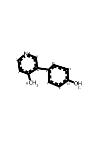 Cc1ccncc1-c1ccc(O)cc1